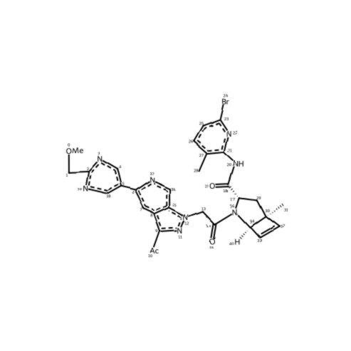 COCc1ncc(-c2cc3c(C(C)=O)nn(CC(=O)N4[C@H](C(=O)Nc5nc(Br)ccc5C)C[C@@]5(C)C=C[C@@H]45)c3cn2)cn1